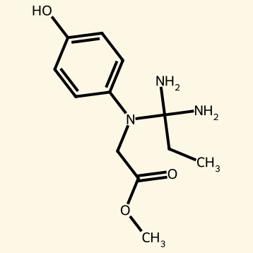 CCC(N)(N)N(CC(=O)OC)c1ccc(O)cc1